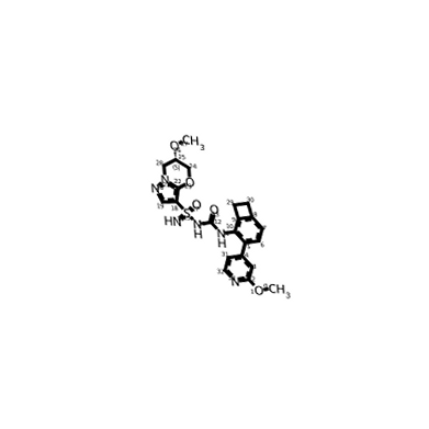 COc1cc(-c2ccc3c(c2NC(=O)NS(=N)(=O)c2cnn4c2OC[C@@H](OC)C4)CC3)ccn1